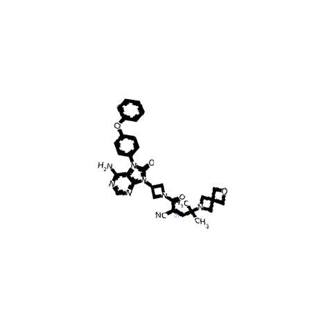 CC(C)(/C=C(/C#N)C(=O)N1CC(n2c(=O)n(-c3ccc(Oc4ccccc4)cc3)c3c(N)ncnc32)C1)N1CC2(COC2)C1